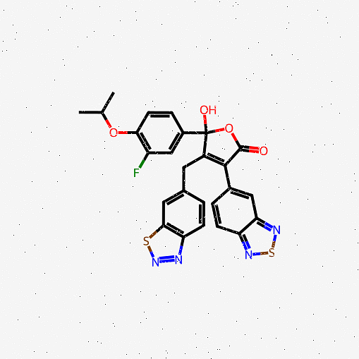 CC(C)Oc1ccc(C2(O)OC(=O)C(c3ccc4nsnc4c3)=C2Cc2ccc3nnsc3c2)cc1F